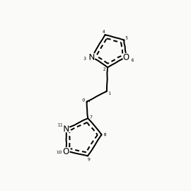 [CH](Cc1ncco1)c1ccon1